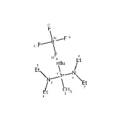 CCCC[P+](C)(N(CC)CC)N(CC)CC.F[B-](F)(F)F